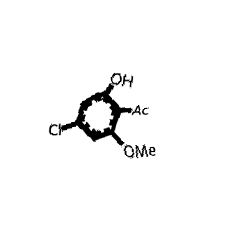 COc1cc(Cl)cc(O)c1C(C)=O